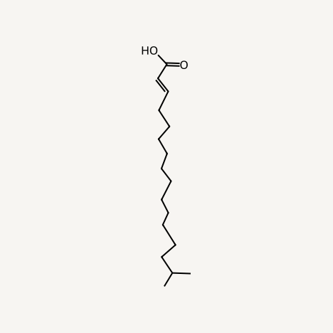 CC(C)CCCCCCCCCCCC=CC(=O)O